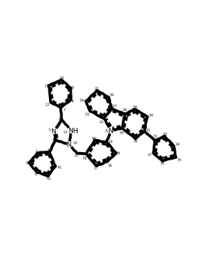 c1ccc(C2=NC(c3ccccc3)NN2Cc2cccc(-n3c4ccccc4c4ccc(-c5ccccc5)cc43)c2)cc1